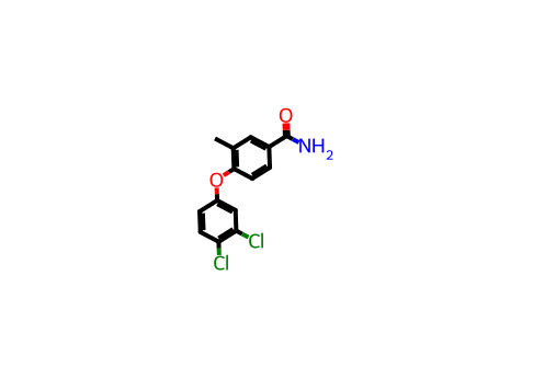 Cc1cc(C(N)=O)ccc1Oc1ccc(Cl)c(Cl)c1